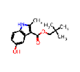 Cc1[nH]c2ccc(O)cc2c1C(=O)OCC(C)(C)C